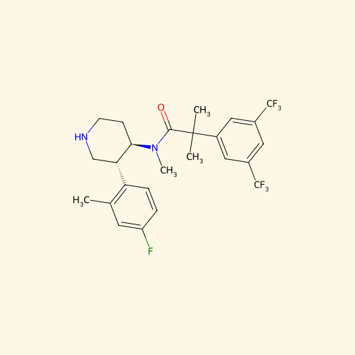 Cc1cc(F)ccc1[C@@H]1CNCC[C@H]1N(C)C(=O)C(C)(C)c1cc(C(F)(F)F)cc(C(F)(F)F)c1